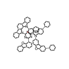 c1ccc(-c2ccc3oc4ccc(-n5c6ccc(-c7ccccc7)cc6c6cc(-n7c8ccccc8c8ccc9c%10ccccc%10n(-c%10nc(-c%11ccccc%11)nc(-c%11cccc%12c%11oc%11ccccc%11%12)n%10)c9c87)ccc65)cc4c3c2)cc1